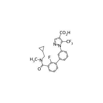 CN(CC1CC1)C(=O)c1cccc(-c2cccc(-n3ncc(C(=O)O)c3C(F)(F)F)c2)c1F